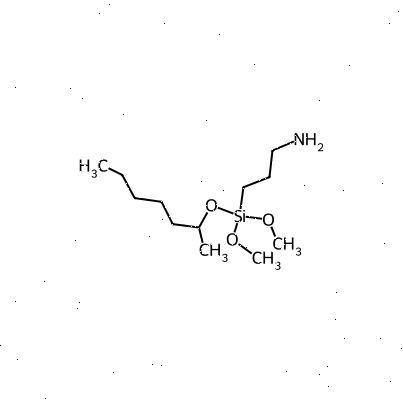 CCCCCC(C)O[Si](CCCN)(OC)OC